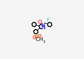 CS(=O)(=O)c1cccc(-c2cnn(Cc3ccccc3F)c(=O)c2-c2ccccc2)c1